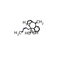 C=C/C=C\CC1(B(O)O)c2ccccc2C(=C)C2=CCCC1C2=C